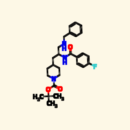 CC(C)(C)OC(=O)N1CCC(CC(CNCc2ccccc2)NC(=O)c2ccc(F)cc2)CC1